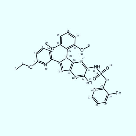 CCOc1cccc(-c2nc3nc(Cl)c(NS(=O)(=O)Cc4ncccc4F)nc3n2-c2c(OC)cccc2OC)n1